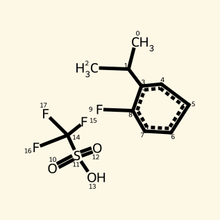 CC(C)c1ccccc1F.O=S(=O)(O)C(F)(F)F